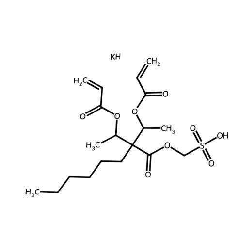 C=CC(=O)OC(C)C(CCCCCC)(C(=O)OCS(=O)(=O)O)C(C)OC(=O)C=C.[KH]